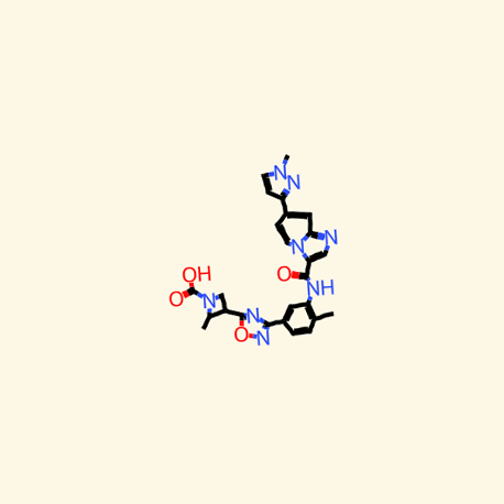 Cc1ccc(-c2noc(C3CN(C(=O)O)C3C)n2)cc1NC(=O)c1cnc2cc(-c3ccn(C)n3)ccn12